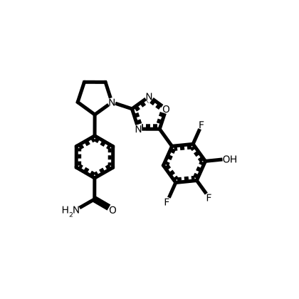 NC(=O)c1ccc(C2CCCN2c2noc(-c3cc(F)c(F)c(O)c3F)n2)cc1